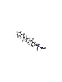 C=C/C(=C\NC)Nc1cnc2c(c1)C(=O)N(CC(O)CN1CCc3ccccc3C1)CC2